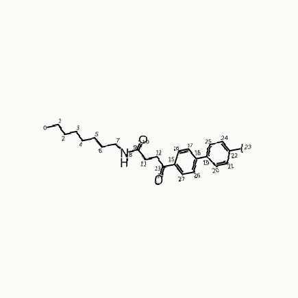 CCCCCCCCNC(=O)CCC(=O)c1ccc(-c2ccc(I)cc2)cc1